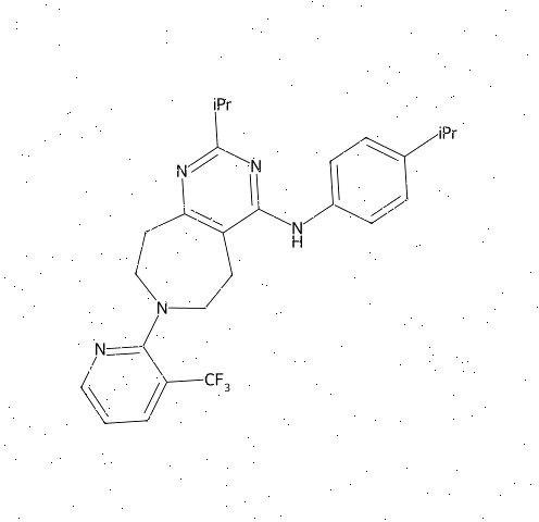 CC(C)c1ccc(Nc2nc(C(C)C)nc3c2CCN(c2ncccc2C(F)(F)F)CC3)cc1